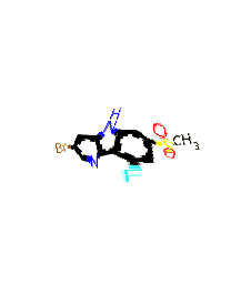 CS(=O)(=O)c1cc(F)c2c(c1)[nH]c1cc(Br)cnc12